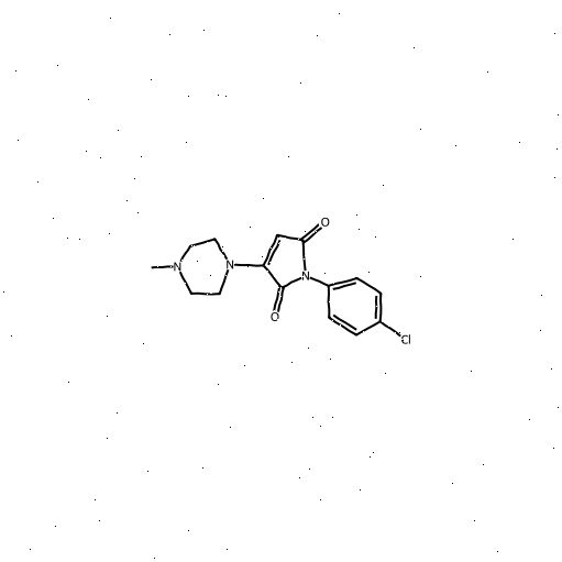 CN1CCN(C2=CC(=O)N(c3ccc(Cl)cc3)C2=O)CC1